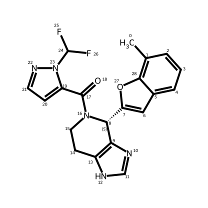 Cc1cccc2cc([C@@H]3c4nc[nH]c4CCN3C(=O)c3ccnn3C(F)F)oc12